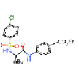 CCCCC(NS(=O)(=O)c1ccc(Cl)cc1)C(=O)Nc1ccc(C(=O)OCC)cc1